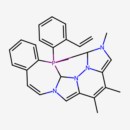 C=Cc1ccccc1P12(C)c3ccccc3C=CN3C=C4C(C)=C(C)C5=CN(C)C1N5N4C32